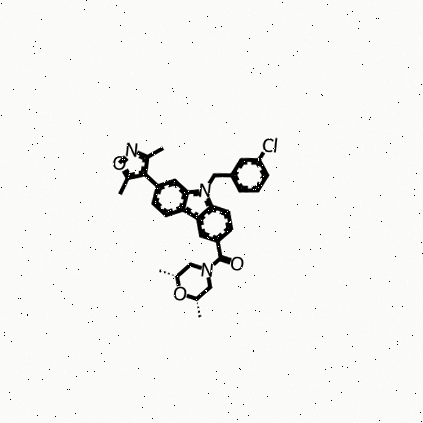 Cc1noc(C)c1-c1ccc2c3cc(C(=O)N4C[C@@H](C)O[C@@H](C)C4)ccc3n(Cc3cccc(Cl)c3)c2c1